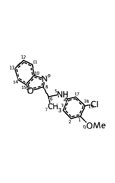 COc1ccc(NC(C)c2nc3ccccc3o2)cc1Cl